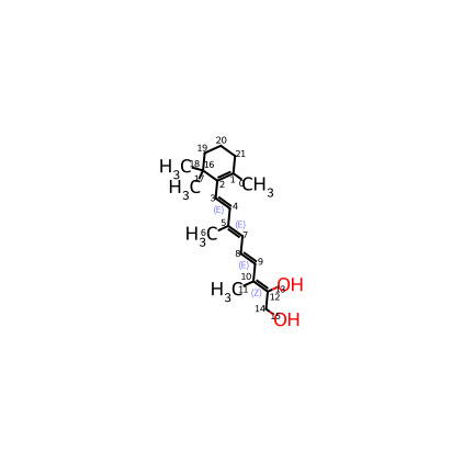 CC1=C(/C=C/C(C)=C/C=C/C(C)=C(\O)CO)C(C)(C)CCC1